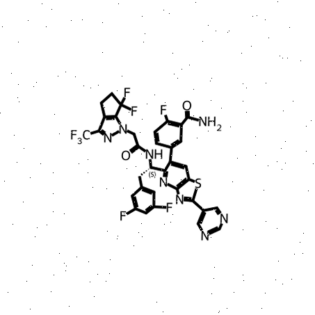 NC(=O)c1cc(-c2cc3sc(-c4cncnc4)nc3nc2[C@H](Cc2cc(F)cc(F)c2)NC(=O)Cn2nc(C(F)(F)F)c3c2C(F)(F)CC3)ccc1F